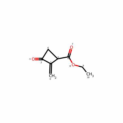 C=C1C(=O)CC1C(=O)OCC